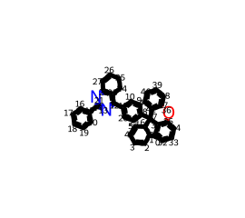 CC1C=CC=CC1C1(c2ccc(-c3nc(-c4ccccc4)nc4c3CCC=C4)cc2)c2ccccc2Oc2ccccc21